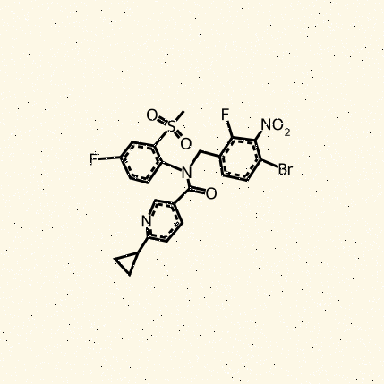 CS(=O)(=O)c1cc(F)ccc1N(Cc1ccc(Br)c([N+](=O)[O-])c1F)C(=O)c1ccc(C2CC2)nc1